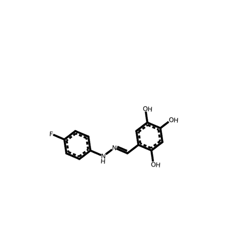 Oc1cc(O)c(C=NNc2ccc(F)cc2)cc1O